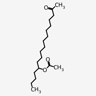 CCCCC(CCCCCCCCCCC(C)=O)OC(C)=O